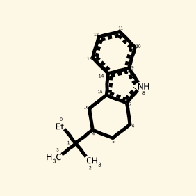 CCC(C)(C)C1CCc2[nH]c3ccccc3c2C1